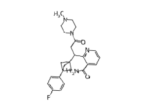 CN1CCN(C(=O)CC(c2ncccc2C(N)=O)C23CC(c4ccc(F)cc4)(C2)C3)CC1